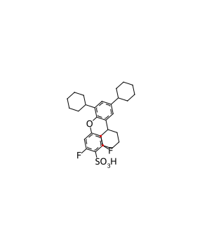 O=S(=O)(O)c1c(F)cc(Oc2c(C3CCCCC3)cc(C3CCCCC3)cc2C2CCCCC2)cc1F